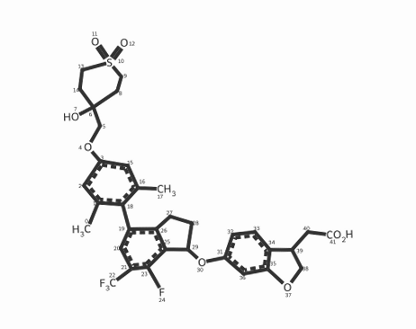 Cc1cc(OCC2(O)CCS(=O)(=O)CC2)cc(C)c1-c1cc(C(F)(F)F)c(F)c2c1CCC2Oc1ccc2c(c1)OCC2CC(=O)O